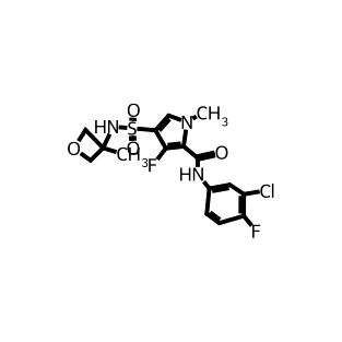 Cn1cc(S(=O)(=O)NC2(C)COC2)c(F)c1C(=O)Nc1ccc(F)c(Cl)c1